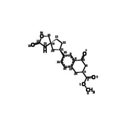 COC(=O)C1CC(=O)c2cc([C@@H]3CC[C@]4(COC(=O)N4)C3)ccc2C1